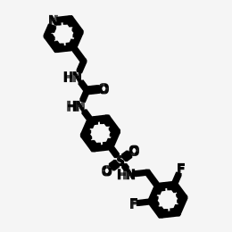 O=C(NCc1ccncc1)Nc1ccc(S(=O)(=O)NCc2c(F)cccc2F)cc1